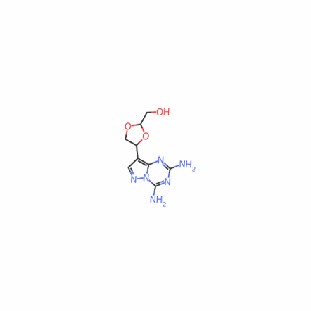 Nc1nc(N)n2ncc(C3COC(CO)O3)c2n1